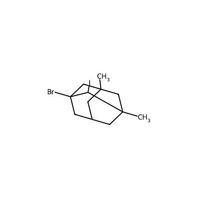 CC12CC3CC(C)(C1)C(I)C(Br)(C3)C2